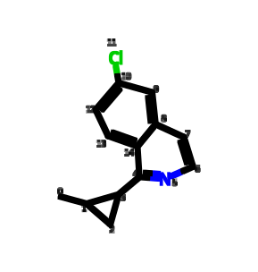 CC1CC1c1nccc2cc(Cl)ccc12